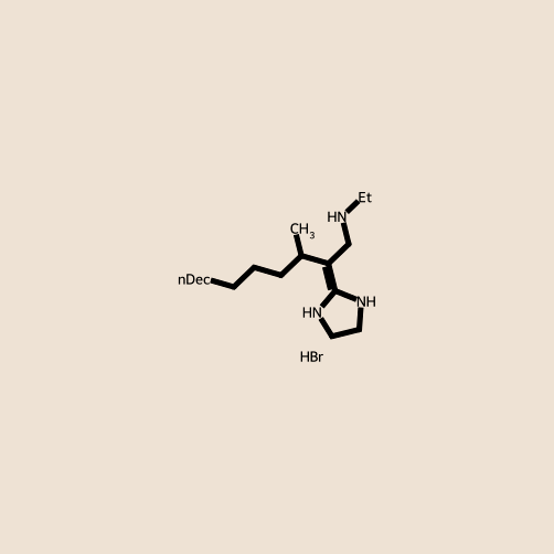 Br.CCCCCCCCCCCCCC(C)C(CNCC)=C1NCCN1